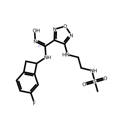 CS(=O)(=O)NCCNc1nonc1/C(=N\O)NC1Cc2ccc(F)cc21